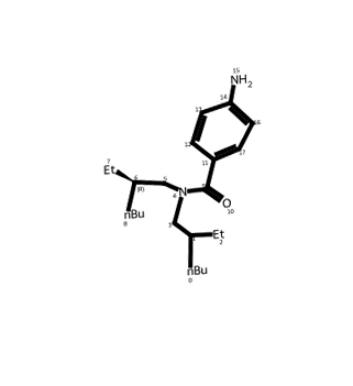 CCCCC(CC)CN(C[C@H](CC)CCCC)C(=O)c1ccc(N)cc1